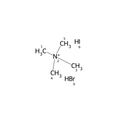 Br.C[N+](C)(C)C.I